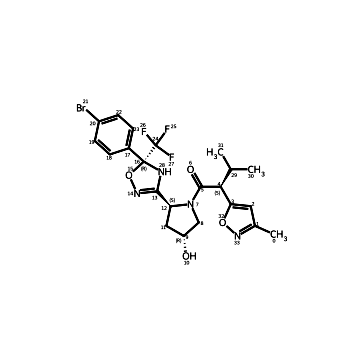 Cc1cc([C@@H](C(=O)N2C[C@H](O)C[C@H]2C2=NO[C@](c3ccc(Br)cc3)(C(F)(F)F)N2)C(C)C)on1